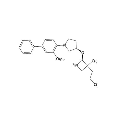 COc1cc(-c2ccccc2)ccc1N1CC[C@@H](O[C@@H]2NCC2(CCCl)C(F)(F)F)C1